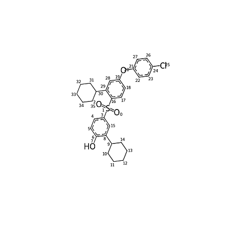 O=S(=O)(c1ccc(O)c(C2CCCCC2)c1)c1ccc(Oc2ccc(Cl)cc2)cc1C1CCCCC1